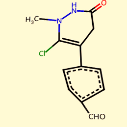 CN1NC(=O)CC(c2ccc(C=O)cc2)=C1Cl